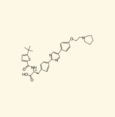 CC(C)(C)c1ccc(C(=O)N[C@@H](Cc2ccc(-c3ncc(-c4ccc(OCCN5CCCCC5)cc4)cn3)cc2)C(=O)O)s1